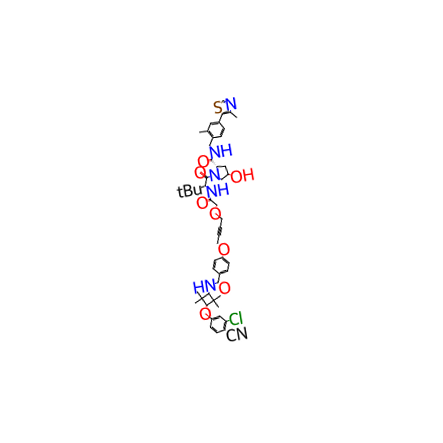 Cc1cc(-c2scnc2C)ccc1CNC(=O)[C@@H]1C[C@@H](O)CN1C(=O)[C@@H](NC(=O)COCC#CCOc1ccc(C(=O)N[C@H]2C(C)(C)[C@H](Oc3ccc(C#N)c(Cl)c3)C2(C)C)cc1)C(C)(C)C